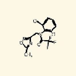 Cc1nc(CN(C(=O)C(F)(F)F)c2c(Cl)cccc2Cl)no1